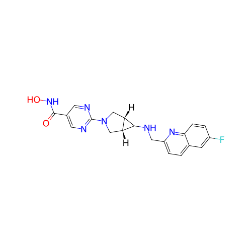 O=C(NO)c1cnc(N2C[C@@H]3C(NCc4ccc5cc(F)ccc5n4)[C@@H]3C2)nc1